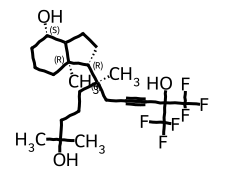 CC(C)(O)CCC[C@](C)(CC#CC(O)(C(F)(F)F)C(F)(F)F)[C@H]1CCC2[C@@H](O)CCC[C@@]21C